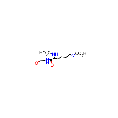 O=C(O)NCCCCC(NC(=O)O)C(=O)NCCO